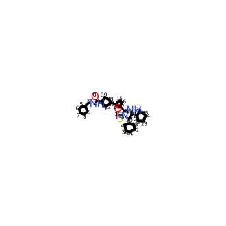 O=C(NCc1ccccc1)c1ccc(-c2ccc(C3N[C@H](c4ccccc4)[C@@H](c4ccccc4)N3SI)o2)cc1